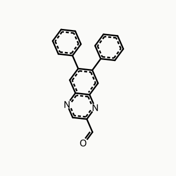 O=Cc1cnc2cc(-c3ccccc3)c(-c3ccccc3)cc2n1